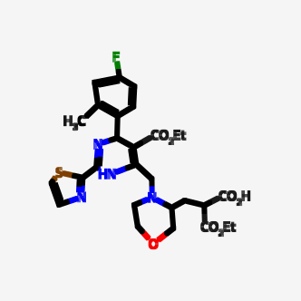 CCOC(=O)C1=C(CN2CCOCC2CC(C(=O)O)C(=O)OCC)NC(c2nccs2)=NC1c1ccc(F)cc1C